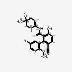 COc1ncc(F)cc1-c1c(C#N)ccc(O)c1C(=O)NC1=NCC(C)(C)CN1